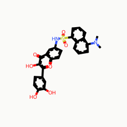 CN(C)c1cccc2c(S(=O)(=O)Nc3ccc4oc(-c5ccc(O)c(O)c5)c(O)c(=O)c4c3)cccc12